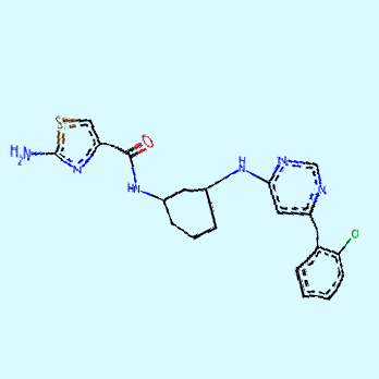 Nc1nc(C(=O)NC2CCCC(Nc3cc(-c4ccccc4Cl)ncn3)C2)cs1